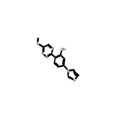 CSc1cnc(-c2ccc(-n3ccnc3)cc2O)nn1